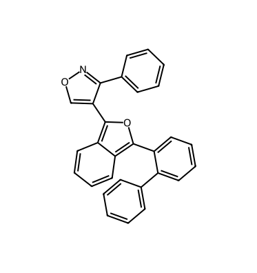 c1ccc(-c2ccccc2-c2oc(-c3conc3-c3ccccc3)c3ccccc23)cc1